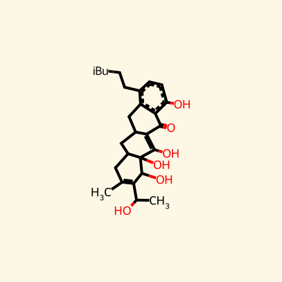 CCC(C)CCc1ccc(O)c2c1CC1CC3CC(C)=C(C(C)O)C(O)C3(O)C(O)=C1C2=O